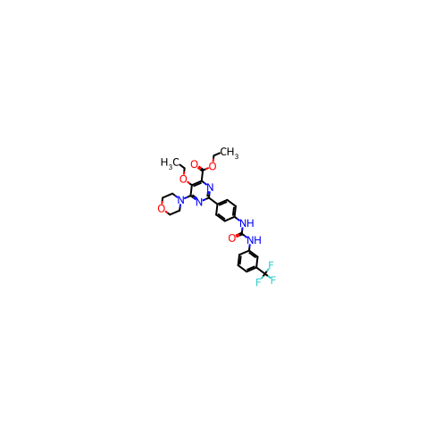 CCOC(=O)c1nc(-c2ccc(NC(=O)Nc3cccc(C(F)(F)F)c3)cc2)nc(N2CCOCC2)c1OCC